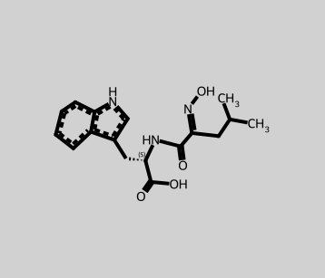 CC(C)CC(=NO)C(=O)N[C@@H](Cc1c[nH]c2ccccc12)C(=O)O